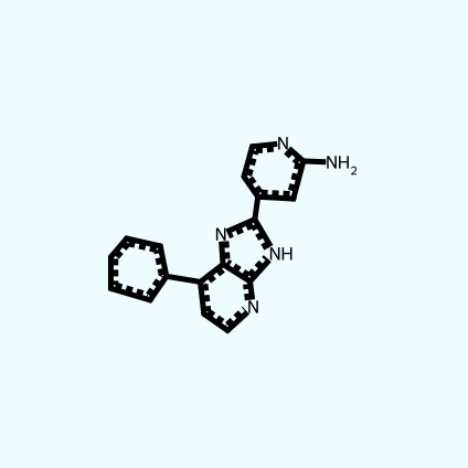 Nc1cc(-c2nc3c(-c4ccccc4)ccnc3[nH]2)ccn1